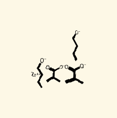 C=C(C)C(=O)[O-].C=C(C)C(=O)[O-].CCCC[O-].CCCC[O-].[Zr+4]